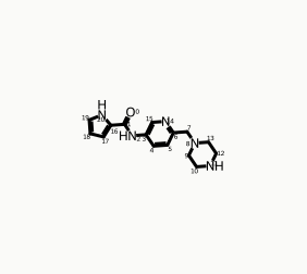 O=C(Nc1ccc(CN2CCNCC2)nc1)c1ccc[nH]1